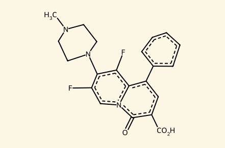 CN1CCN(c2c(F)cn3c(=O)c(C(=O)O)cc(-c4ccccc4)c3c2F)CC1